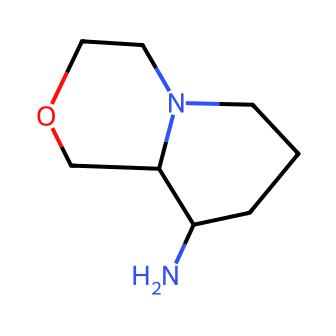 NC1CCCN2CCOCC12